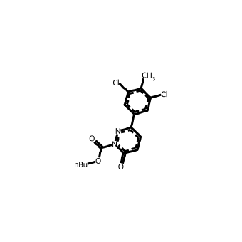 CCCCOC(=O)n1nc(-c2cc(Cl)c(C)c(Cl)c2)ccc1=O